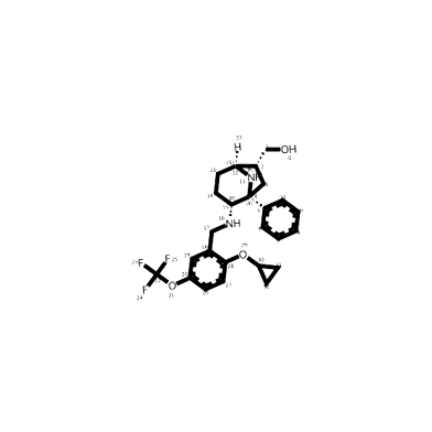 OC[C@@H]1C[C@]2(c3ccccc3)N[C@H]1CC[C@H]2NCc1cc(OC(F)(F)F)ccc1OC1CC1